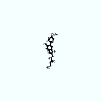 COc1cnc(-c2cc3[nH]c(CNC(=O)CCO)cc3cc2Cl)cn1